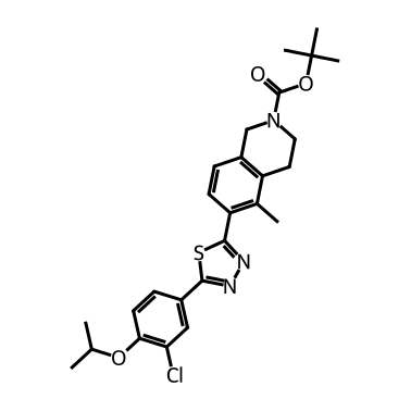 Cc1c(-c2nnc(-c3ccc(OC(C)C)c(Cl)c3)s2)ccc2c1CCN(C(=O)OC(C)(C)C)C2